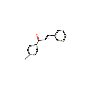 [CH2]c1ccc(C(=O)/C=C/c2ccccc2)cc1